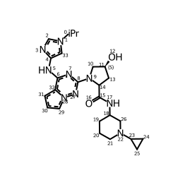 CC(C)n1cnc(Nc2nc(N3C[C@@H](O)CC3C(=O)NC3CCCN(C4CC4)C3)nn3cccc23)c1